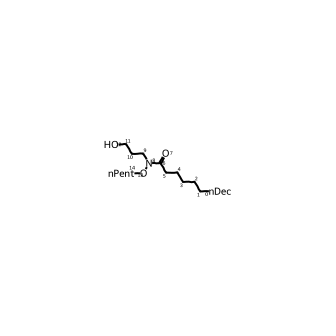 CCCCCCCCCCCCCCCC(=O)N(CCCO)OCCCCC